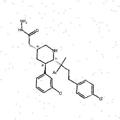 CC(=O)C(C)(CCc1ccc(Cl)cc1)[C@H]1NC[C@@H](CC(=O)NN)C[C@@H]1c1cccc(Cl)c1